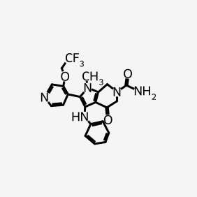 Cn1c2c(c(Nc3ccccc3)c1-c1ccncc1OCC(F)(F)F)C(=O)CN(C(N)=O)C2